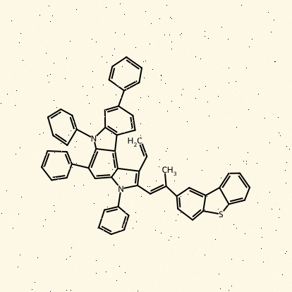 C=Cc1c(/C=C(\C)c2ccc3sc4ccccc4c3c2)n(-c2ccccc2)c2cc(-c3ccccc3)c3c(c4ccc(-c5ccccc5)cc4n3-c3ccccc3)c12